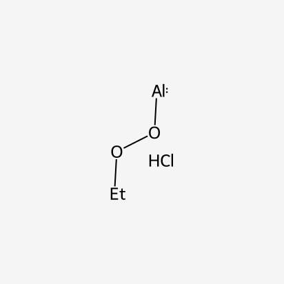 CCO[O][Al].Cl